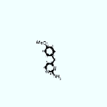 COc1ccc(Cc2ccnc(N)n2)cc1